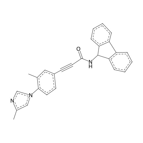 Cc1cn(-c2ccc(C#CC(=O)NC3c4ccccc4-c4ccccc43)cc2C)cn1